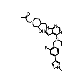 CCN(Cc1ccc(-c2cnn(C)c2)cc1F)c1ncnc2c1ccn2CC1CCN(CC(C)=O)CC1O